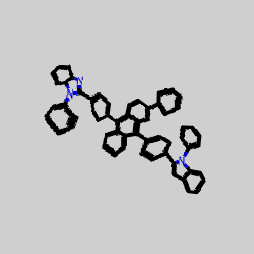 C1=CC2N=C(c3ccc(-c4c5ccccc5c(-c5ccc(-c6cc7ccccc7n6-c6ccccc6)cc5)c5cc(-c6ccccc6)ccc45)cc3)N(c3ccccc3)C2C=C1